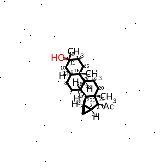 CC(=O)[C@H]1[C@H]2C[C@H]2[C@H]2[C@@H]3CC[C@H]4C[C@](C)(O)CC[C@]4(C)[C@H]3CC[C@@]21C